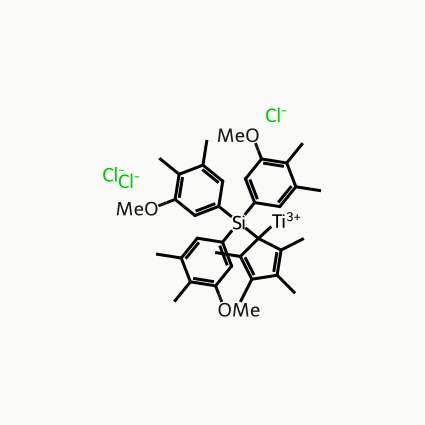 COc1cc([Si](c2cc(C)c(C)c(OC)c2)(c2cc(C)c(C)c(OC)c2)[C]2([Ti+3])C(C)=C(C)C(C)=C2C)cc(C)c1C.[Cl-].[Cl-].[Cl-]